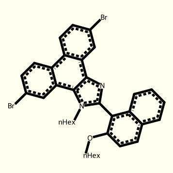 CCCCCCOc1ccc2ccccc2c1-c1nc2c3cc(Br)ccc3c3ccc(Br)cc3c2n1CCCCCC